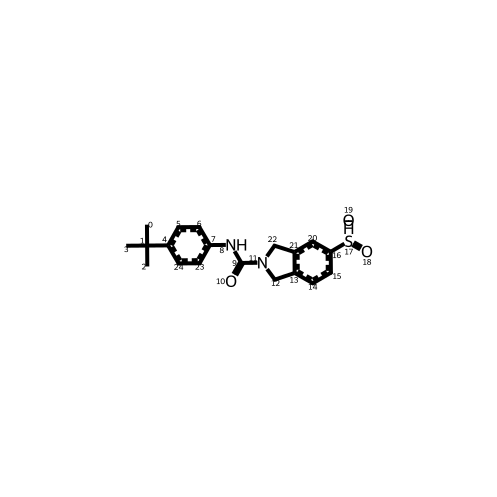 CC(C)(C)c1ccc(NC(=O)N2Cc3ccc([SH](=O)=O)cc3C2)cc1